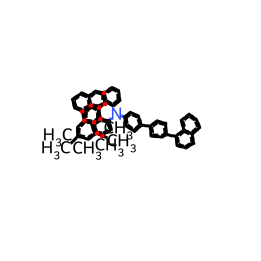 CC(C)(C)c1cc(-c2cccc3cccc(-c4ccccc4N(c4ccc(-c5ccc(-c6cccc7ccccc67)cc5)cc4)c4ccccc4-c4ccccc4)c23)cc(C(C)(C)C)c1